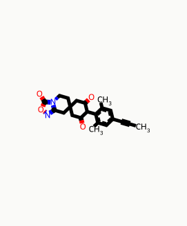 CC#Cc1cc(C)c(C2C(=O)CC3(CCn4c(noc4=O)C3)CC2=O)c(C)c1